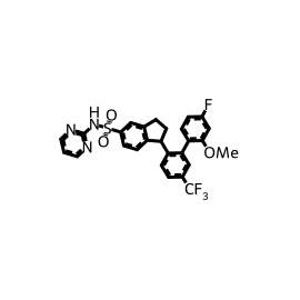 COc1cc(F)ccc1-c1cc(C(F)(F)F)ccc1C1CCc2cc(S(=O)(=O)Nc3ncccn3)ccc21